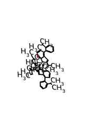 CCC(=O)N[B](NC(=O)CC)[Zr]([Cl])([Cl])([CH]1C(C(C)C)=Cc2c(-c3ccccc3C(C)C)cccc21)[CH]1C(C(C)C)=Cc2c(-c3ccccc3C(C)C)cccc21